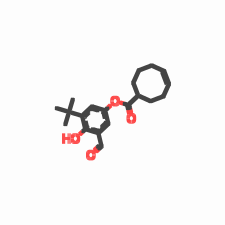 CC(C)(C)c1cc(OC(=O)C2CC/C=C\CCC2)cc(C=O)c1O